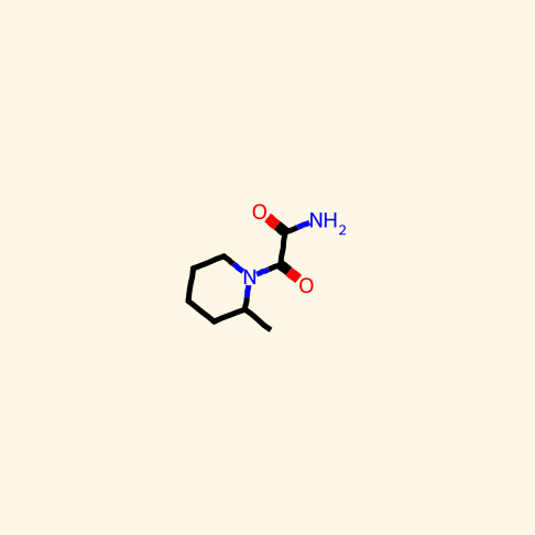 CC1CCCCN1C(=O)C(N)=O